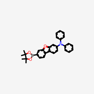 CC1(C)OB(c2ccc3c(c2)oc2cc(N(c4ccccc4)c4ccccc4)ccc23)OC1(C)C